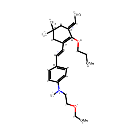 CCN(CCOCOC)c1ccc(/C=C/C2=C(OCCOC)C(=C/C=O)/CC(C)(C)C2)cc1